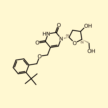 CC(C)(C)c1ccccc1COCc1cn([C@@H]2CC(O)[C@H](CO)O2)c(=O)[nH]c1=O